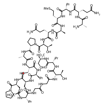 CSCC[C@H](NC(=O)[C@@H](NC(=O)[C@H](CCC(N)=O)NC(=O)[C@H](C)N)C(C)C)C(=O)N[C@@H](C)C(=O)N[C@@H](CCC(N)=O)C(=O)N[C@H](C(=O)N1CCC[C@H]1C(=O)N[C@@H](C)C(=O)N[C@@H](CO)C(=O)N[C@H](C(=O)N[C@@H](CO)C(=O)N[C@@H](CCC(=O)O)C(=O)N1CCC[C@H]1C(=O)N[C@H](C(=O)NCC(=O)NCC(=O)N[C@H](C(=O)N[C@H](C(=O)N[C@H](C(=O)O)[C@@H](C)O)C(C)C)[C@@H](C)O)C(C)C)C(C)C)[C@@H](C)O